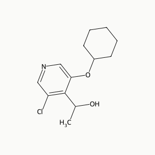 CC(O)c1c(Cl)cncc1OC1CCCCC1